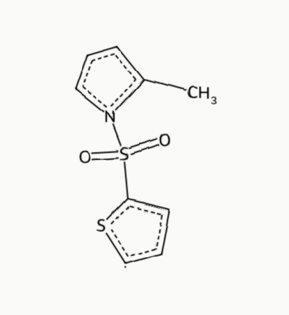 Cc1cccn1S(=O)(=O)c1cc[c]s1